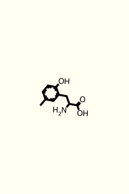 Cc1ccc(O)c(CC(N)C(=O)O)c1